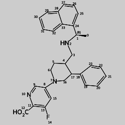 C[C@@H](NCC1CCN(c2cnc(C(=O)O)c(F)c2)CC1c1ccccc1)c1cccc2ccccc12